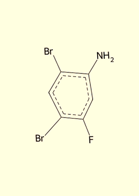 Nc1cc(F)c(Br)cc1Br